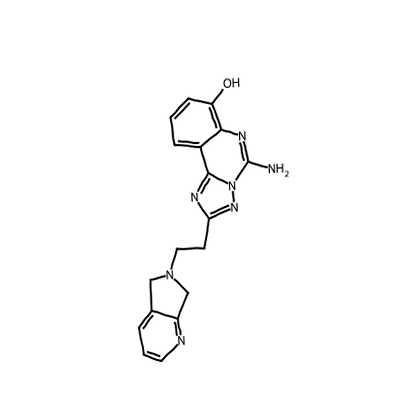 Nc1nc2c(O)cccc2c2nc(CCN3Cc4cccnc4C3)nn12